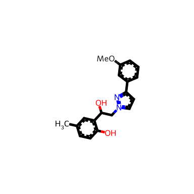 COc1cccc(-c2ccn(CC(O)c3cc(C)ccc3O)n2)c1